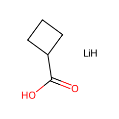 O=C(O)C1CCC1.[LiH]